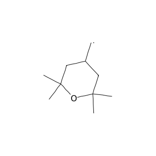 [CH2]C1CC(C)(C)OC(C)(C)C1